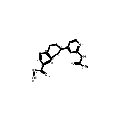 CC(C)(C)C(=O)Nc1cc(C2CCc3ccc(C(=O)NO)cc3C2)ccn1